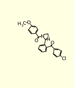 COc1ccc(C(=O)N2CCN=C2c2ccccc2C(=O)c2ccc(Cl)cc2)cc1